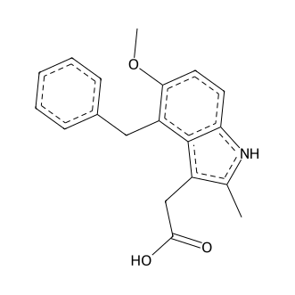 COc1ccc2[nH]c(C)c(CC(=O)O)c2c1Cc1ccccc1